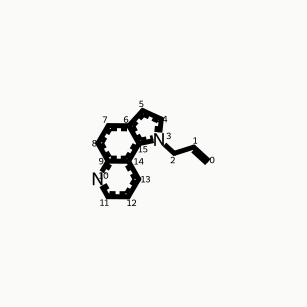 C=CCn1ccc2ccc3ncccc3c21